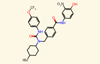 CC(C)(C)C1CCC(N(Cc2ccc(C(=O)Nc3ccc(O)c([N+](=O)[O-])c3)cc2)C(=O)Nc2ccc(OC(F)(F)F)cc2)CC1